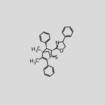 CC1=C(c2ccccc2)[P@]2(=S)C[C@]1(C)[C@@H](c1ccccc1)[C@H]2C1=NC(c2ccccc2)CO1